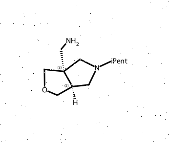 CCCC(C)N1C[C@H]2COC[C@@]2(CN)C1